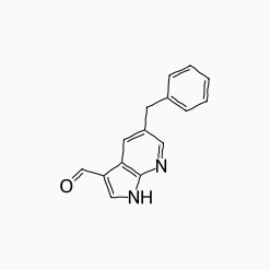 O=Cc1c[nH]c2ncc(Cc3ccccc3)cc12